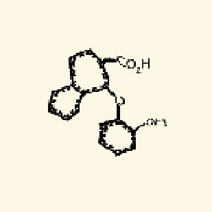 O=C(O)c1ccc2ccccc2c1Oc1ccccc1O